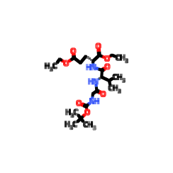 CCOC(=O)CC[C@@H](NC(=O)[C@@H](NC(=O)CNC(=O)OC(C)(C)C)C(C)C)C(=O)OCC